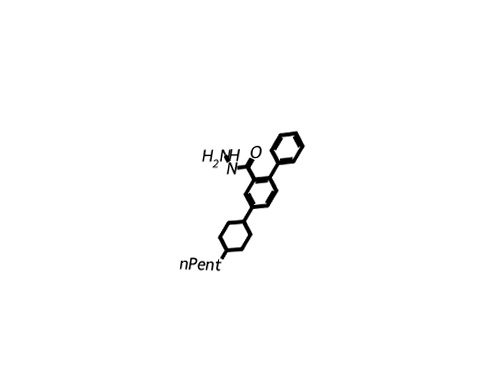 CCCCCC1CCC(c2ccc(-c3ccccc3)c(C(=O)NN)c2)CC1